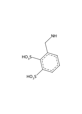 [NH]Cc1cccc(S(=O)(=O)O)c1S(=O)(=O)O